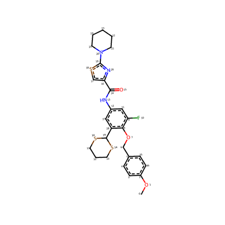 COc1ccc(COc2c(F)cc(NC(=O)c3csc(N4CCCCC4)n3)cc2C2SCCCS2)cc1